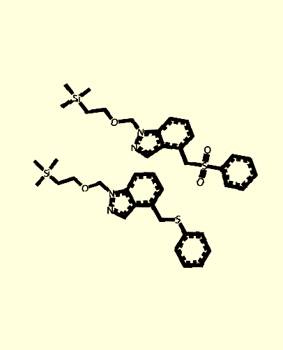 C[Si](C)(C)CCOCn1ncc2c(CS(=O)(=O)c3ccccc3)cccc21.C[Si](C)(C)CCOCn1ncc2c(CSc3ccccc3)cccc21